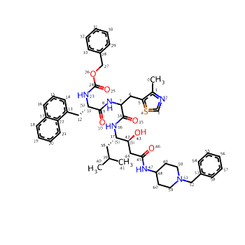 Cc1ncsc1CC(NC(=O)[C@H](Cc1cccc2ccccc12)NC(=O)OCc1ccccc1)C(=O)N[C@@H](CC(C)C)[C@@H](O)CC(=O)NC1CCN(Cc2ccccc2)CC1